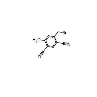 Cc1cc(CBr)c(C#N)cc1C#N